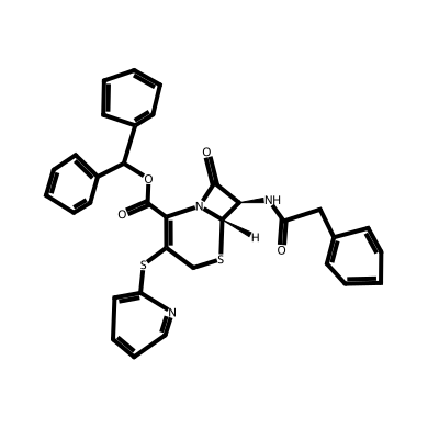 O=C(Cc1ccccc1)N[C@@H]1C(=O)N2C(C(=O)OC(c3ccccc3)c3ccccc3)=C(Sc3ccccn3)CS[C@@H]12